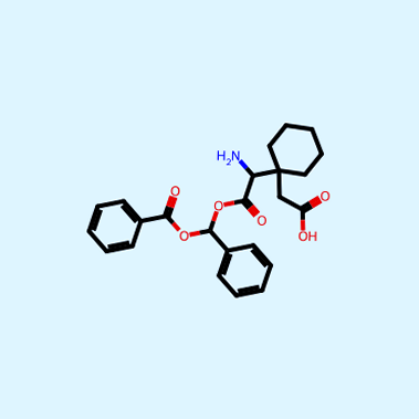 NC(C(=O)OC(OC(=O)c1ccccc1)c1ccccc1)C1(CC(=O)O)CCCCC1